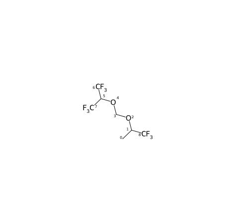 CC(OCOC(C(F)(F)F)C(F)(F)F)C(F)(F)F